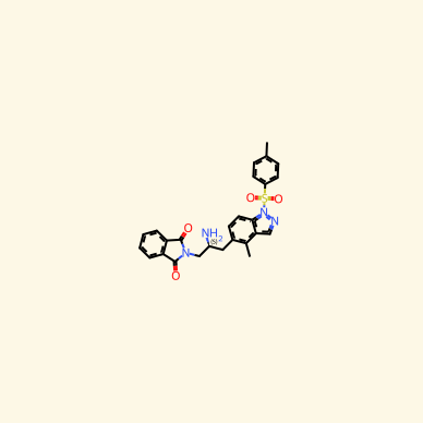 Cc1ccc(S(=O)(=O)n2ncc3c(C)c(C[C@H](N)CN4C(=O)c5ccccc5C4=O)ccc32)cc1